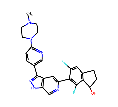 CN1CCN(c2ccc(-c3n[nH]c4cnc(-c5c(F)cc6c(c5F)C(O)CC6)cc34)cn2)CC1